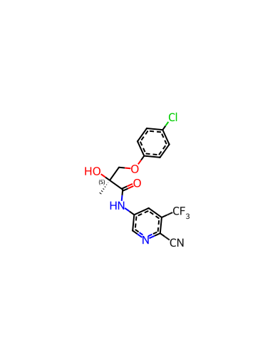 C[C@](O)(COc1ccc(Cl)cc1)C(=O)Nc1cnc(C#N)c(C(F)(F)F)c1